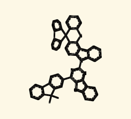 CC1(C)c2ccccc2-c2ccc(-c3nc(-n4c5ccccc5c5c6c(ccc54)C4(c5ccccc5S6)c5ccccc5-c5ccccc54)nc4c3oc3ccccc34)cc21